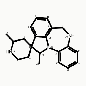 CC1CC2(CCN1)c1cccc3c1N(c1ccccc1NC3)C2C